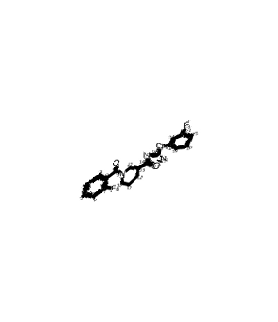 O=C(c1ccccc1F)N1CCCC(c2nc(Oc3cccc(F)c3)no2)C1